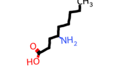 CCCCC[C@H](N)CCC(=O)O